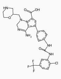 NC1=NCN(CC2CNCCO2)n2c(C(=O)O)cc(-c3ccc(NC(=O)Nc4cc(C(F)(F)F)ccc4Cl)cc3)c21